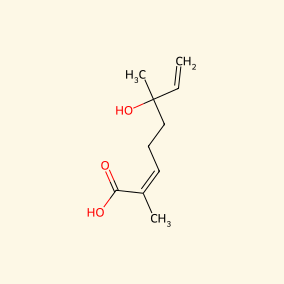 C=CC(C)(O)CCC=C(C)C(=O)O